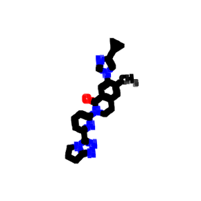 Cc1cc2c(cc1-n1cnc(C3CC3)c1)C(=O)N(c1cccc(-c3nnc4n3CCC4)n1)CC2